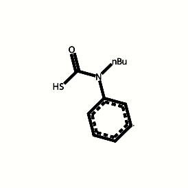 CCCCN(C(=O)S)c1c[c]ccc1